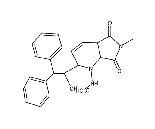 CN1C(=O)C2C=CC(C(O)C(c3ccccc3)c3ccccc3)N(NC(=O)O)C2C1=O